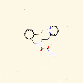 CSc1ccccc1CN(CCc1ccccn1)C(=O)C(N)=O